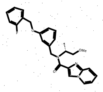 COC[C@@H](C)N(Cc1cccc(OCc2ccccc2F)c1)C(=O)c1cn2ccccc2n1